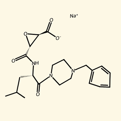 CC(C)C[C@H](NC(=O)[C@@H]1O[C@H]1C(=O)[O-])C(=O)N1CCN(Cc2ccccc2)CC1.[Na+]